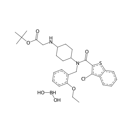 CCOc1ccccc1CN(C(=O)c1sc2ccccc2c1Cl)C1CCC(NCC(=O)OC(C)(C)C)CC1.OBO